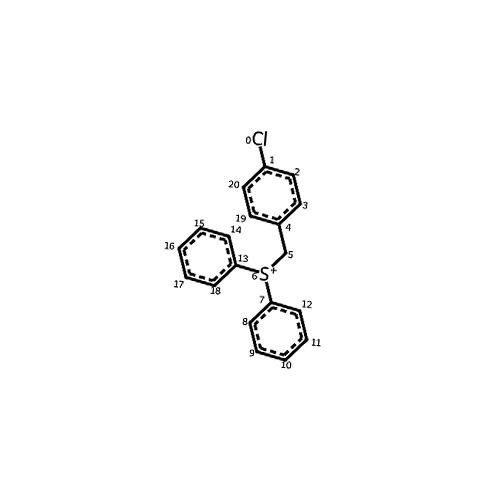 Clc1ccc(C[S+](c2ccccc2)c2ccccc2)cc1